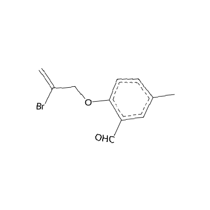 C=C(Br)COc1ccc(C)cc1C=O